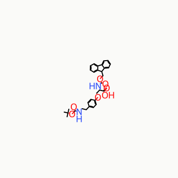 CC(C)(C)OC(=O)NCCc1ccc(OCC(NC(=O)OCC2c3ccccc3-c3ccccc32)C(=O)O)cc1